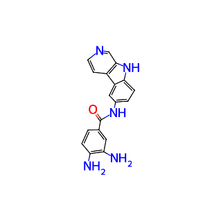 Nc1ccc(C(=O)Nc2ccc3[nH]c4cnccc4c3c2)cc1N